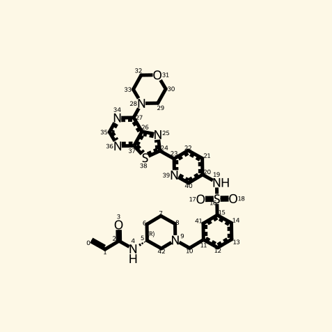 C=CC(=O)N[C@@H]1CCCN(Cc2cccc(S(=O)(=O)Nc3ccc(-c4nc5c(N6CCOCC6)ncnc5s4)nc3)c2)C1